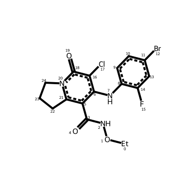 CCONC(=O)c1c(Nc2ccc(Br)cc2F)c(Cl)c(=O)n2c1CCC2